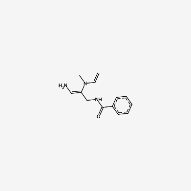 C=CN(C)/C(=C\N)CNC(=O)c1ccccc1